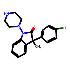 CC1(c2ccc(Cl)cc2)C(=O)N(N2CCNCC2)c2ccccc21